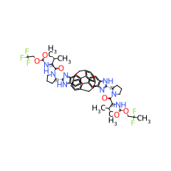 CC(C)[C@H](NC(=O)OCC(C)(F)F)C(=O)N1CCC[C@H]1c1nc2cc(-c3cc4ccc3CCc3ccc(c(-c5ccc6[nH]c([C@@H]7CCCN7C(=O)[C@@H](NC(=O)OCC(F)(F)F)C(C)C)nc6c5)c3)CC4)ccc2[nH]1